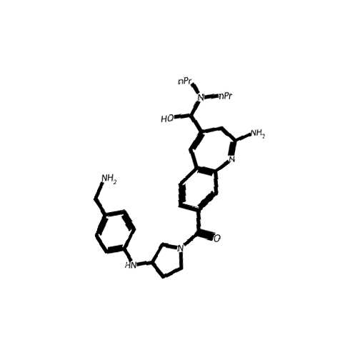 CCCN(CCC)C(O)C1=Cc2ccc(C(=O)N3CCC(Nc4ccc(CN)cc4)C3)cc2N=C(N)C1